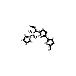 C=CC(c1ccc(-c2ccc(C)s2)s1)S(=O)(=O)n1cccc1